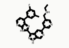 CCNCc1cncc(-c2cc3c(-c4nc5c(-c6cc(C)cc(F)c6)ccnc5[nH]4)n[nH]c3cn2)c1